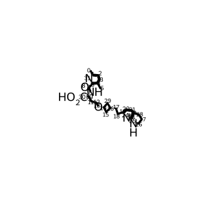 Cc1ccc(C)c(C(=O)N[C@@H](CCO[C@H]2C[C@@H](CCc3ccc4c(n3)NCCC4)C2)C(=O)O)n1